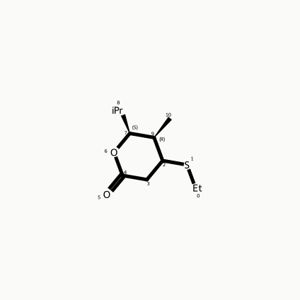 CCSC1CC(=O)O[C@@H](C(C)C)[C@H]1C